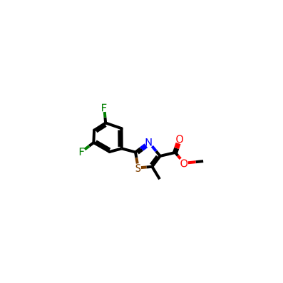 COC(=O)c1nc(-c2cc(F)cc(F)c2)sc1C